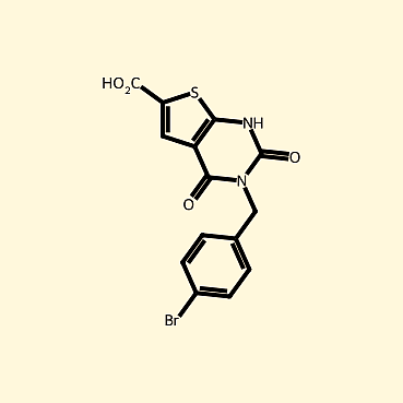 O=C(O)c1cc2c(=O)n(Cc3ccc(Br)cc3)c(=O)[nH]c2s1